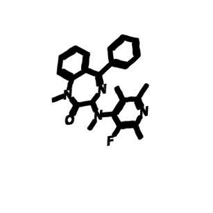 Cc1nc(C)c(F)c(N(C)C2N=C(c3ccccc3)c3ccccc3N(C)C2=O)c1C